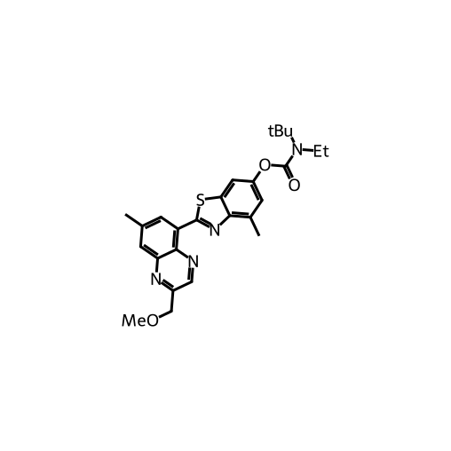 CCN(C(=O)Oc1cc(C)c2nc(-c3cc(C)cc4nc(COC)cnc34)sc2c1)C(C)(C)C